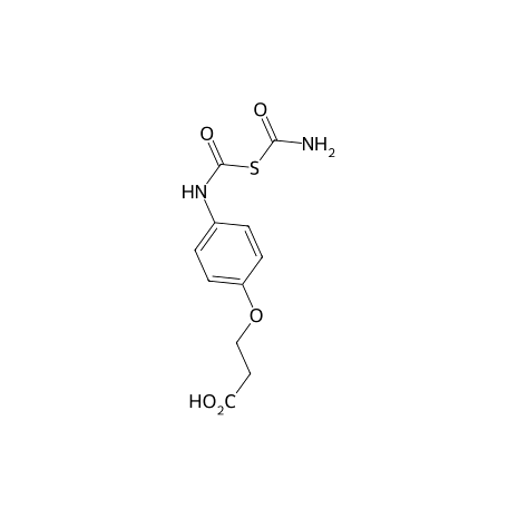 NC(=O)SC(=O)Nc1ccc(OCCC(=O)O)cc1